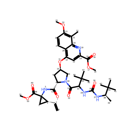 C=C[C@@H]1C[C@]1(NC(=O)[C@@H]1C[C@@H](Oc2cc(C(=O)OC)nc3c(C)c(OC)ccc23)CN1C(=O)C(NC(=O)N[C@H](C)C(C)(C)C)C(C)(C)C)C(=O)OC